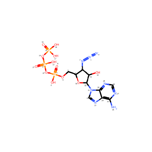 [N-]=[N+]=NC1C(COP(=O)(O)OP(=O)(O)OP(=O)(O)O)OC(n2cnc3c(N)ncnc32)C1O